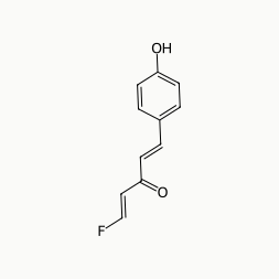 O=C(C=CF)C=Cc1ccc(O)cc1